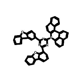 c1ccc2c3c(ccc2c1)N(c1nc(-c2ccc4oc5ccccc5c4c2)nc(-c2cccc4c2oc2ccccc24)n1)c1cccc2cccc-3c12